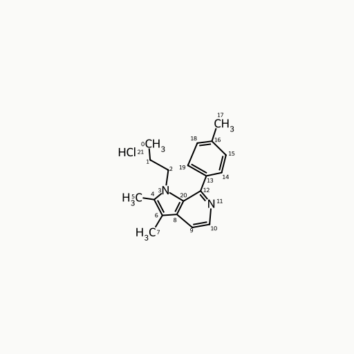 CCCn1c(C)c(C)c2ccnc(-c3ccc(C)cc3)c21.Cl